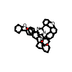 c1ccc(-c2nc(-c3ccc4c(c3)oc3ccccc34)nc(-c3cccc4oc5ccc6ccc(-n7c8cc9ccccc9cc8c8ccc9ccccc9c87)cc6c5c34)n2)cc1